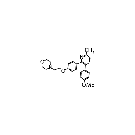 COc1ccc(-c2ccc(C)nc2-c2ccc(OCCN3CCOCC3)cc2)cc1